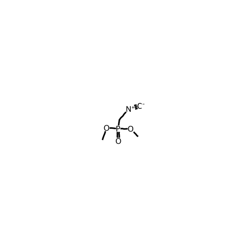 [C-]#[N+]CP(=O)(OC)OC